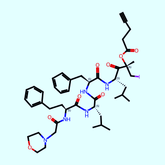 C#CCCC(=O)O[C@](C)(CI)C(=O)[C@H](CC(C)C)NC(=O)[C@H](Cc1ccccc1)NC(=O)[C@H](CC(C)C)NC(=O)[C@H](CCc1ccccc1)NC(=O)CN1CCOCC1